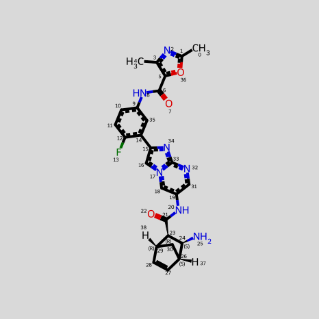 Cc1nc(C)c(C(=O)Nc2ccc(F)c(-c3cn4cc(NC(=O)[C@H]5[C@@H](N)[C@@H]6C=C[C@H]5C6)cnc4n3)c2)o1